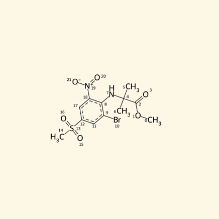 COC(=O)C(C)(C)Nc1c(Br)cc(S(C)(=O)=O)cc1[N+](=O)[O-]